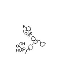 CN1CCC(c2cn(Cc3ccccc3)c3ccc(OS(=O)(=O)c4cccc(F)c4F)cc23)CC1.O=C(O)C(=O)O